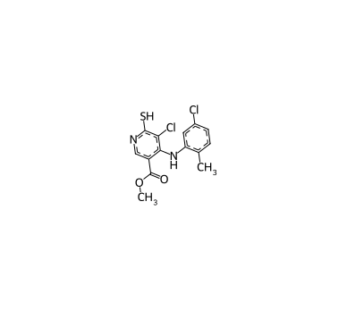 COC(=O)c1cnc(S)c(Cl)c1Nc1cc(Cl)ccc1C